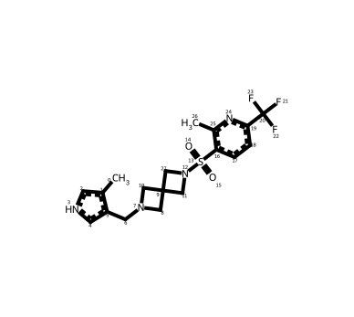 Cc1c[nH]cc1CN1CC2(C1)CN(S(=O)(=O)c1ccc(C(F)(F)F)nc1C)C2